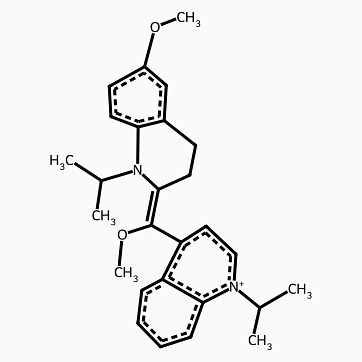 CO/C(=C1/CCc2cc(OC)ccc2N1C(C)C)c1cc[n+](C(C)C)c2ccccc12